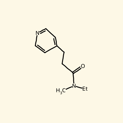 CCN(C)C(=O)CCc1ccncc1